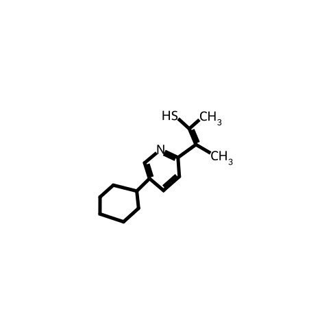 C/C(S)=C(\C)c1ccc(C2CCCCC2)cn1